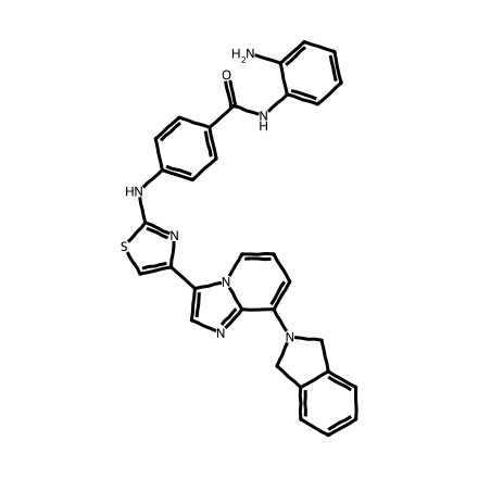 Nc1ccccc1NC(=O)c1ccc(Nc2nc(-c3cnc4c(N5Cc6ccccc6C5)cccn34)cs2)cc1